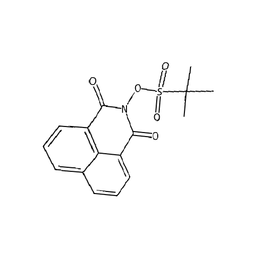 CC(C)(C)S(=O)(=O)ON1C(=O)c2cccc3cccc(c23)C1=O